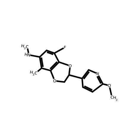 CNc1cc(F)c2c(c1C)OCC(c1ccc(OC)nc1)O2